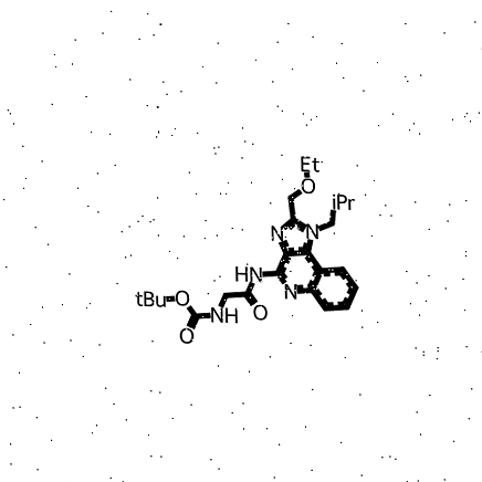 CCOCc1nc2c(NC(=O)CNC(=O)OC(C)(C)C)nc3ccccc3c2n1CC(C)C